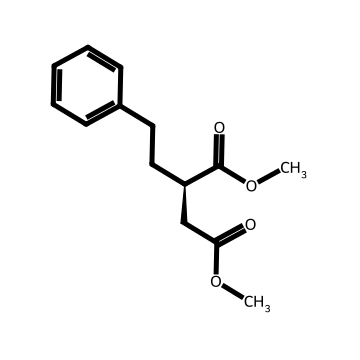 COC(=O)C[C@@H](CCc1ccccc1)C(=O)OC